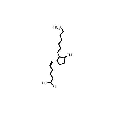 CCC(O)CCC/C=C\[C@H]1CCC(O)[C@@H]1CCCCCCC(=O)O